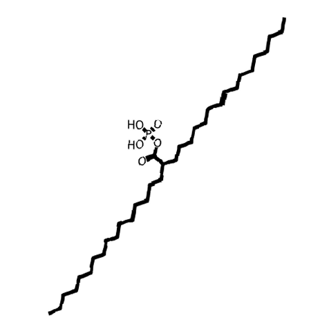 CCCCCCCCC=CCCCCCCC(CCCCCCCCCCCCCCCC)C(=O)OP(=O)(O)O